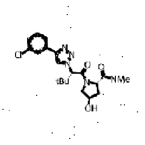 CNC(=O)[C@@H]1C[C@@H](O)CN1C(=O)[C@@H](n1cc(-c2cccc(Cl)c2)nn1)C(C)(C)C